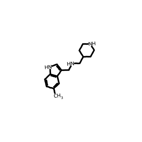 Cc1ccc2[nH]cc(CNCC3CCNCC3)c2c1